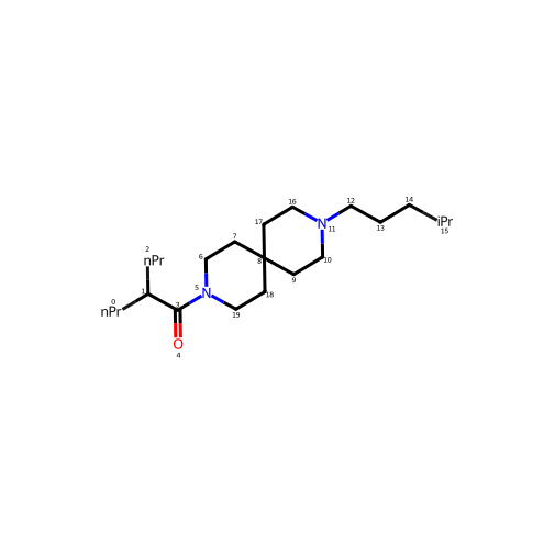 CCCC(CCC)C(=O)N1CCC2(CCN(CCCC(C)C)CC2)CC1